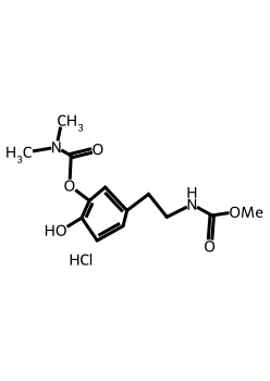 COC(=O)NCCc1ccc(O)c(OC(=O)N(C)C)c1.Cl